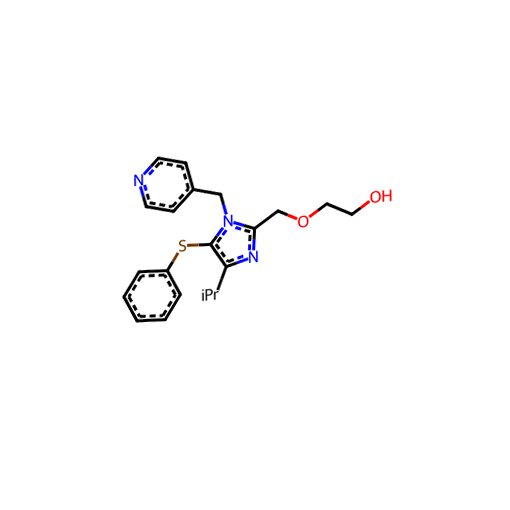 CC(C)c1nc(COCCO)n(Cc2ccncc2)c1Sc1ccccc1